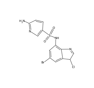 Nc1ccc(S(=O)(=O)Nc2cc(Br)cc3c2N=CC3Cl)cn1